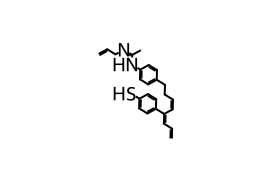 C=C/C=C(\C=C/CCc1ccc(N/C(C)=N\CC=C)cc1)c1ccc(S)cc1